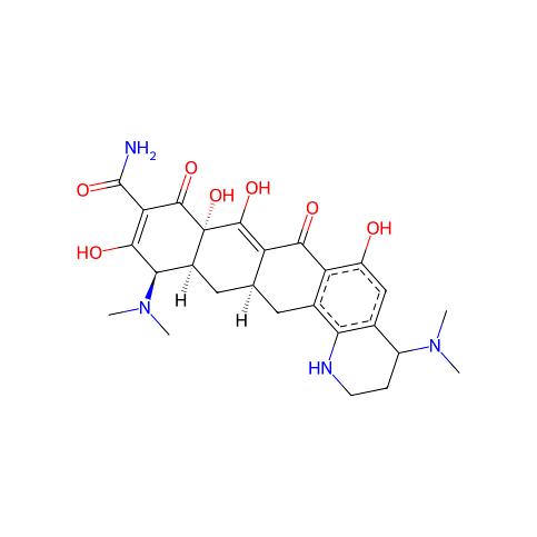 CN(C)C1CCNc2c1cc(O)c1c2C[C@H]2C[C@H]3[C@@H](N(C)C)C(O)=C(C(N)=O)C(=O)[C@@]3(O)C(O)=C2C1=O